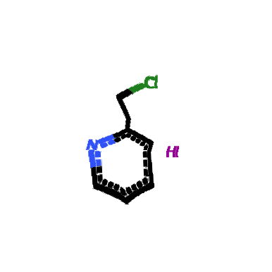 ClCc1ccccn1.I